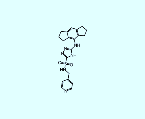 O=S(=O)(NCc1ccncc1)c1nnc(Nc2c3c(cc4c2CCC4)CCC3)[nH]1